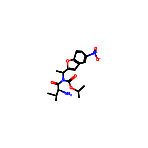 CC(C)OC(=O)N(C(=O)[C@@H](N)C(C)C)C(C)c1cc2cc([N+](=O)[O-])ccc2o1